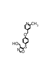 Cc1cc(COc2ccc(Sc3ocnc3CO)cc2)ccn1